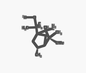 [3H]OC(C)(C)C12CC([C@H](C)C1)[C@@](C)(OC)C2(C)C